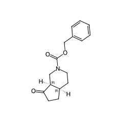 O=C1CC[C@@H]2CCN(C(=O)OCc3ccccc3)C[C@H]12